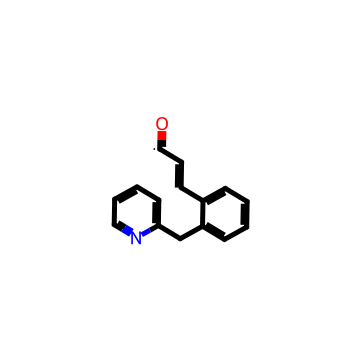 O=[C]/C=C/c1ccccc1Cc1ccccn1